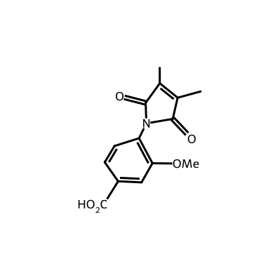 COc1cc(C(=O)O)ccc1N1C(=O)C(C)=C(C)C1=O